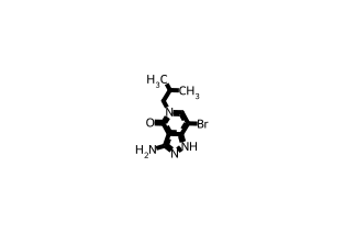 CC(C)Cn1cc(Br)c2[nH]nc(N)c2c1=O